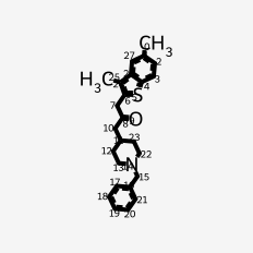 Cc1ccc2sc(CC(=O)CC3CCN(Cc4ccccc4)CC3)c(C)c2c1